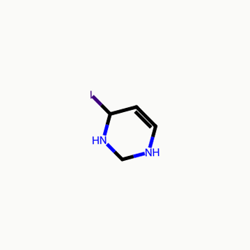 IC1C=CNCN1